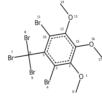 COc1c(Br)c(C(Br)(Br)Br)c(Br)c(OC)c1OC